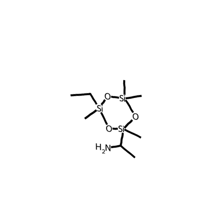 CC[Si]1(C)O[Si](C)(C)O[Si](C)(C(C)N)O1